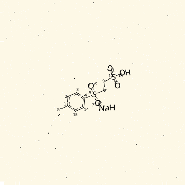 Cc1ccc(S(=O)(=O)CCS(=O)(=O)O)cc1.[NaH]